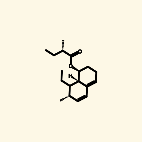 CCC1[C@@H](C)C=CC2=CCC[C@H](OC(=O)[C@@H](C)CC)[C@@H]21